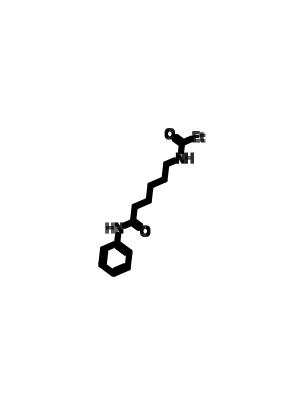 CCC(=O)NCCCCCC(=O)Nc1ccccc1